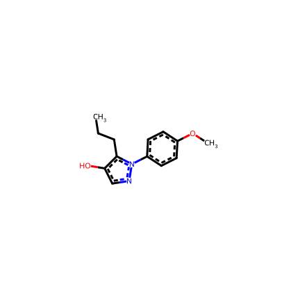 CCCc1c(O)cnn1-c1ccc(OC)cc1